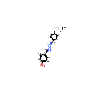 O=C(O)c1ccc(/C=N/N=C/c2ccc(O)cc2)cc1